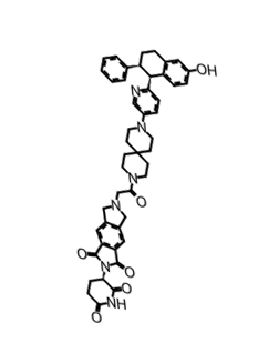 O=C1CC[C@@H](N2C(=O)c3cc4c(cc3C2=O)CN(CC(=O)N2CCC3(CC2)CCN(c2ccc([C@@H]5c6ccc(O)cc6CC[C@@H]5c5ccccc5)nc2)CC3)C4)C(=O)N1